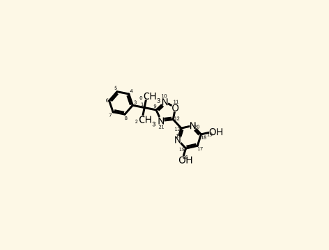 CC(C)(c1ccccc1)c1noc(-c2nc(O)cc(O)n2)n1